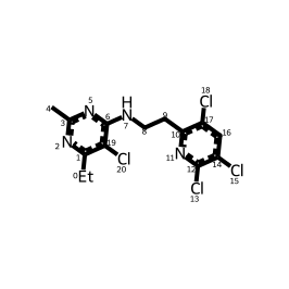 CCc1nc(C)nc(NCCc2nc(Cl)c(Cl)cc2Cl)c1Cl